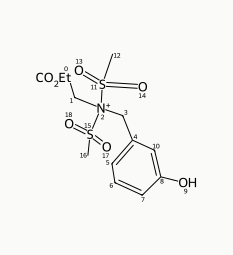 CCOC(=O)C[N+](Cc1cccc(O)c1)(S(C)(=O)=O)S(C)(=O)=O